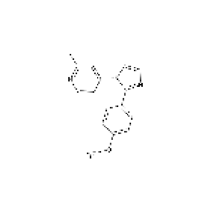 Cc1cc(-n2ccnc2-c2ccc(OC(F)(F)F)cc2)ccn1